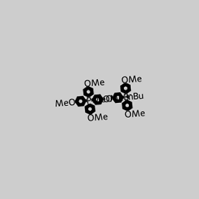 CCCC[B-](c1ccc(OC)cc1)(c1ccc(OC)cc1)c1ccc(OC)cc1.COc1ccc([P+](c2ccc(OC)cc2)(c2ccc(OC)cc2)c2ccc(OC)cc2)cc1